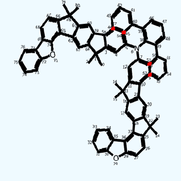 CC1(C)c2cc(N(c3ccc4c(c3)C(C)(C)c3cc5c(cc3-4)C(C)(C)c3ccc4oc6ccccc6c4c3-5)c3c(-c4ccccc4)cccc3-c3ccccc3)ccc2-c2cc3c(cc21)-c1c(ccc2c1oc1ccccc12)C3(C)C